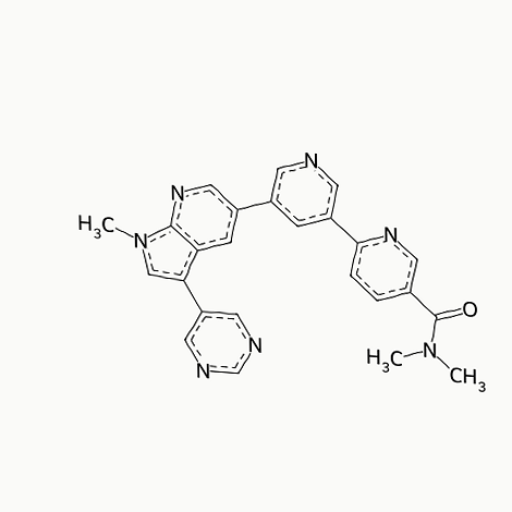 CN(C)C(=O)c1ccc(-c2cncc(-c3cnc4c(c3)c(-c3cncnc3)cn4C)c2)nc1